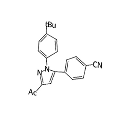 CC(=O)c1cc(-c2ccc(C#N)cc2)n(-c2ccc(C(C)(C)C)cc2)n1